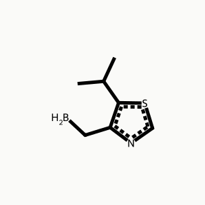 BCc1ncsc1C(C)C